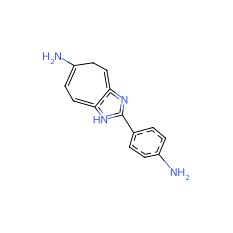 NC1=CC=c2[nH]c(-c3ccc(N)cc3)nc2=CC1